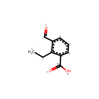 CCc1c(C=O)cccc1C(=O)O